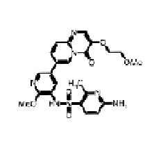 COCCOc1cnc2ccc(-c3cnc(OC)c(NS(=O)(=O)c4ccc(N)nc4C)c3)cn2c1=O